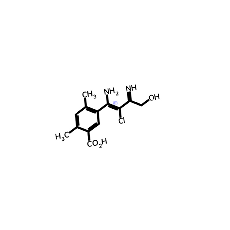 Cc1cc(C)c(/C(N)=C(\Cl)C(=N)CO)cc1C(=O)O